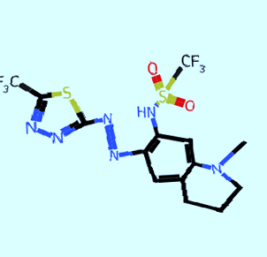 CN1CCCc2cc(N=Nc3nnc(C(F)(F)F)s3)c(NS(=O)(=O)C(F)(F)F)cc21